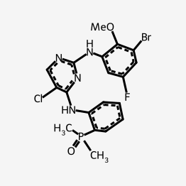 COc1c(Br)cc(F)cc1Nc1ncc(Cl)c(Nc2ccccc2P(C)(C)=O)n1